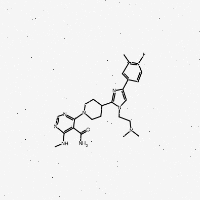 CNc1ncnc(N2CCC(c3nc(-c4ccc(F)c(C)c4)cn3CCN(C)C)CC2)c1C(N)=O